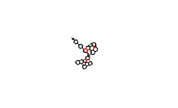 CC(C)(C)c1ccc(-c2ccc(C3=C=C=C(N(c4ccc5c(c4)-c4cc6ccccc6cc4C54c5ccccc5-c5ccccc54)c4ccc5ccccc5c4C4=c5c(oc6ccccc56)=CCC4)C=C3)cc2)cc1